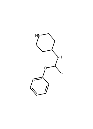 [CH2]C(NC1CCNCC1)Oc1ccccc1